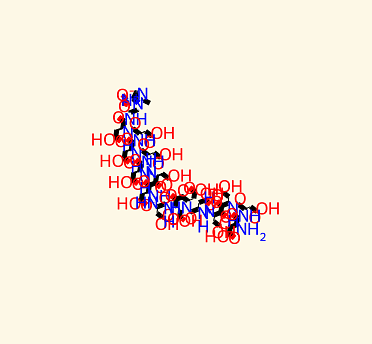 Cc1ncc([N+](=O)[O-])n1CCNC(=O)[C@H](CC(=O)O)NC(=O)[C@H](CC(=O)O)NC(=O)[C@H](CC(=O)O)NC(=O)[C@H](CC(=O)O)NC(=O)[C@H](CC(=O)O)NN[C@@H](CC(=O)O)C(=O)C(=O)[C@H](CC(=O)O)NN[C@@H](CC(=O)O)C(=O)N[C@@H](CC(=O)O)C(=O)C(=O)[C@H](CC(=O)O)NC(=O)[C@H](CC(=O)O)NN[C@@H](CC(=O)O)C(=O)C(=O)[C@H](CC(=O)O)NC(=O)[C@H](CC(=O)O)NC(=O)[C@@H](N)CC(=O)O